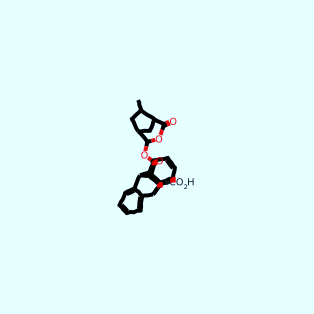 CC1CC2CC1C(=O)OC2OC(=O)C1C2c3ccccc3C(c3ccccc32)C1C(=O)O